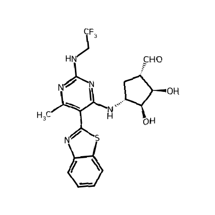 Cc1nc(NCC(F)(F)F)nc(N[C@@H]2C[C@H](C=O)[C@@H](O)[C@H]2O)c1-c1nc2ccccc2s1